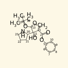 C=C(C(=O)Oc1ccccc1)C(O)(C(=O)OC(C)(C)C)C1CCCN1